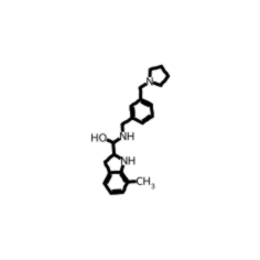 Cc1cccc2c1NC(C(O)NCc1cccc(CN3CCCC3)c1)C2